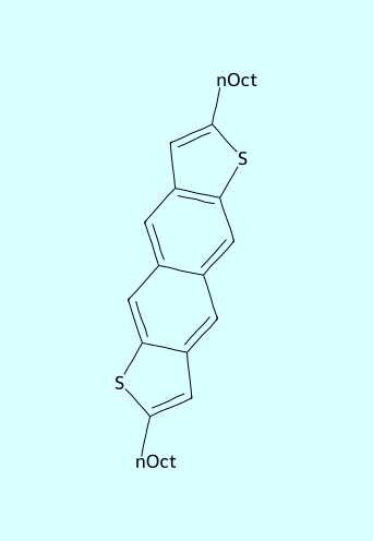 CCCCCCCCc1cc2cc3cc4sc(CCCCCCCC)cc4cc3cc2s1